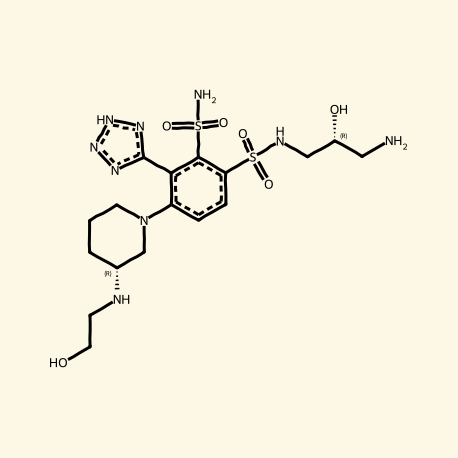 NC[C@@H](O)CNS(=O)(=O)c1ccc(N2CCC[C@@H](NCCO)C2)c(-c2nn[nH]n2)c1S(N)(=O)=O